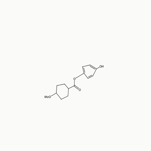 COC1CCC(C(=O)Oc2ccc(O)cc2)CC1